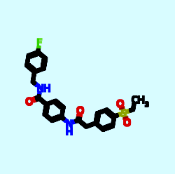 CCS(=O)(=O)c1ccc(CC(=O)Nc2ccc(C(=O)NCc3ccc(F)cc3)cc2)cc1